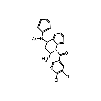 CC(=O)N(c1ccccc1)C1CC(C)N(C(=O)c2cnc(Cl)c(Cl)c2)c2ccccc21